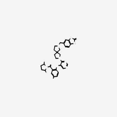 CC1CCC(C)N1C(=O)c1cc(F)ccc1Oc1cncnc1N1CCC2(CCN(Cc3ccc4[nH]c(=O)[nH]c4c3)C2)C1